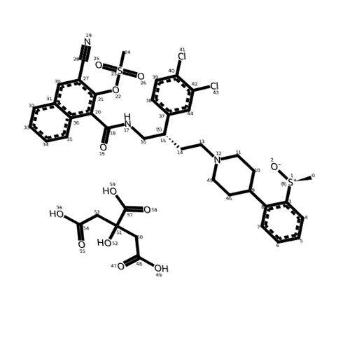 C[S@+]([O-])c1ccccc1C1CCN(CC[C@H](CNC(=O)c2c(OS(C)(=O)=O)c(C#N)cc3ccccc23)c2ccc(Cl)c(Cl)c2)CC1.O=C(O)CC(O)(CC(=O)O)C(=O)O